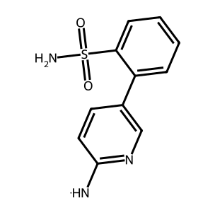 [NH]c1ccc(-c2ccccc2S(N)(=O)=O)cn1